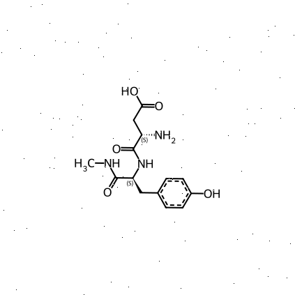 CNC(=O)[C@H](Cc1ccc(O)cc1)NC(=O)[C@@H](N)CC(=O)O